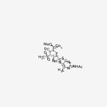 CCC(CS(C)(=O)=O)C(/C=C(\C=N)c1nc2c(C)nc(NC(C)=O)nc2s1)=C(/C)OC